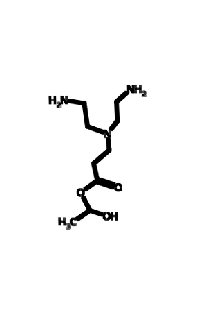 CC(O)OC(=O)CCN(CCN)CCN